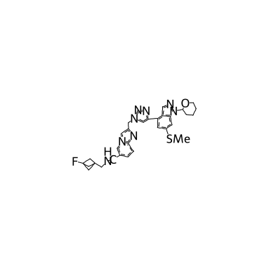 CSc1cc(-c2cn(Cc3cn4cc(CNCC56CC(F)(C5)C6)ccc4n3)nn2)c2cnn(C3CCCCO3)c2c1